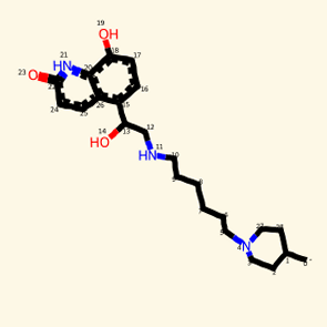 [CH2]C1CCN(CCCCCCNCC(O)c2ccc(O)c3[nH]c(=O)ccc23)CC1